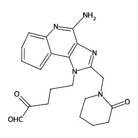 Nc1nc2ccccc2c2c1nc(CN1CCCCC1=O)n2CCCC(=O)C=O